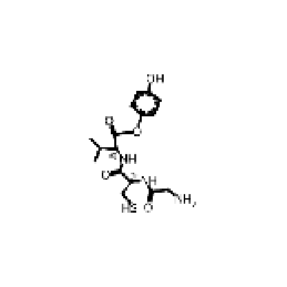 CC(C)[C@H](NC(=O)[C@H](CS)NC(=O)CN)C(=O)Oc1ccc(O)cc1